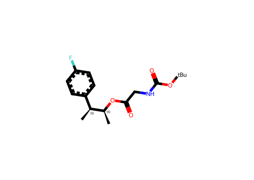 C[C@H](OC(=O)CNC(=O)OC(C)(C)C)[C@@H](C)c1ccc(F)cc1